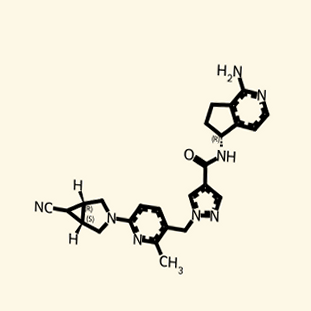 Cc1nc(N2C[C@@H]3C(C#N)[C@@H]3C2)ccc1Cn1cc(C(=O)N[C@@H]2CCc3c2ccnc3N)cn1